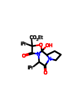 CCOC(=O)C1(C(C)C)OC2(O)C3CCCN3C(=O)C(C(C)C)N2C1=O